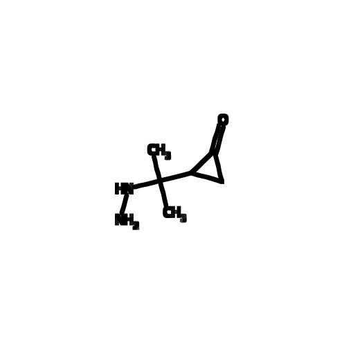 CC(C)(NN)C1CC1=O